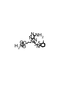 Cc1cccc2nc(Sc3nc4c(N)ncnc4n3CCCOS(N)(=O)=O)sc12